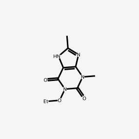 CCOn1c(=O)c2[nH]c(C)nc2n(C)c1=O